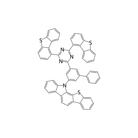 c1ccc(-c2cc(-c3nc(-c4cccc5sc6ccccc6c45)nc(-c4cccc5sc6ccccc6c45)n3)cc(-n3c4ccccc4c4ccc5c6ccccc6sc5c43)c2)cc1